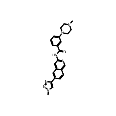 CN1CCN(c2cccc(C(=O)Nc3cc4cc(-c5cn(C)nn5)ccc4cn3)c2)CC1